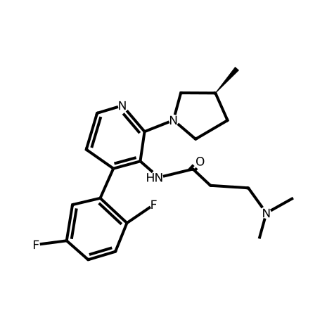 C[C@H]1CCN(c2nccc(-c3cc(F)ccc3F)c2NC(=O)CCN(C)C)C1